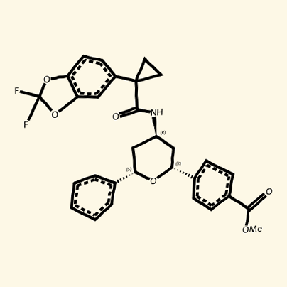 COC(=O)c1ccc([C@H]2C[C@H](NC(=O)C3(c4ccc5c(c4)OC(F)(F)O5)CC3)C[C@@H](c3ccccc3)O2)cc1